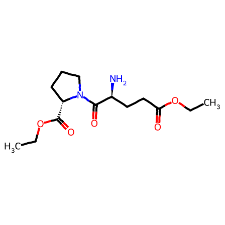 CCOC(=O)CC[C@H](N)C(=O)N1CCC[C@H]1C(=O)OCC